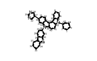 c1ccc(-n2c3ccccc3c3c4c5ccc(-c6cncnc6)cc5n(-c5ccc6c(c5)sc5ccccc56)c4ccc32)cc1